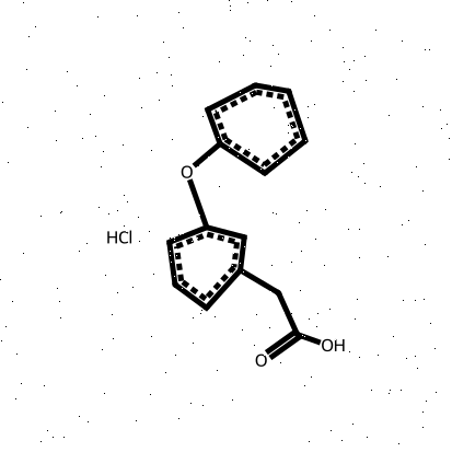 Cl.O=C(O)Cc1cccc(Oc2ccccc2)c1